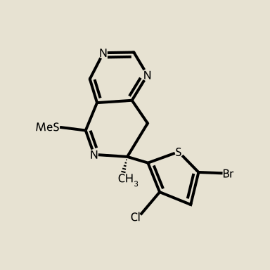 CSC1=N[C@](C)(c2sc(Br)cc2Cl)Cc2ncncc21